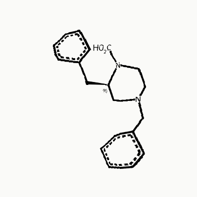 O=C(O)N1CCN(Cc2ccccc2)C[C@H]1Cc1ccccc1